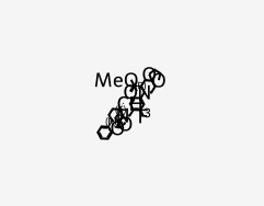 COC(=O)[C@H]1CC2(CCN1c1ccc(CN3[C@@H](C)CC[C@H](c4ccccc4)S3(=O)=O)c(F)c1)OCCO2